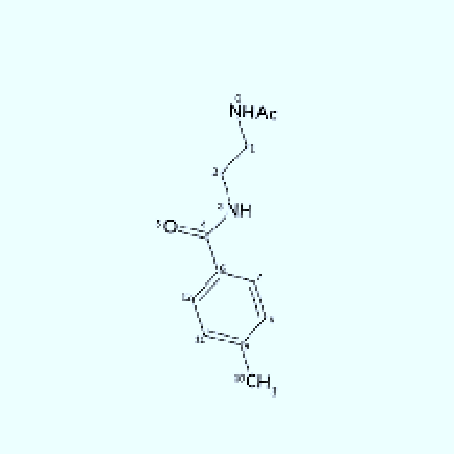 CC(=O)NCCNC(=O)c1ccc(C)cc1